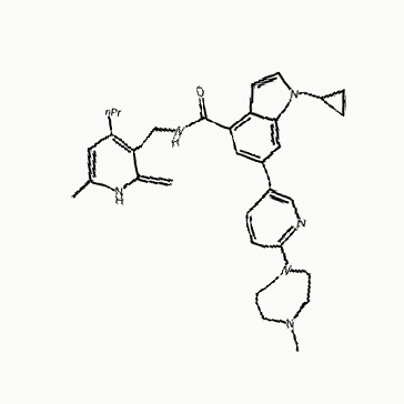 C=C1NC(C)=CC(CCC)=C1CNC(=O)c1cc(-c2ccc(N3CCN(C)CC3)nc2)cc2c1ccn2C1CC1